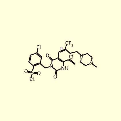 C=C(Cl)c1[nH]c(=O)n(Cc2cc(Cl)ccc2S(=O)(=O)CC)c(=O)c1/C=C(\CCN1CCN(C)CC1)C(F)(F)F